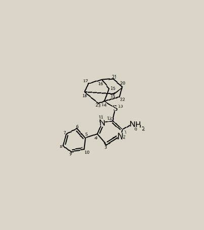 Nc1ncc(-c2ccccc2)nc1SC12CC3CC(CC(C3)C1)C2